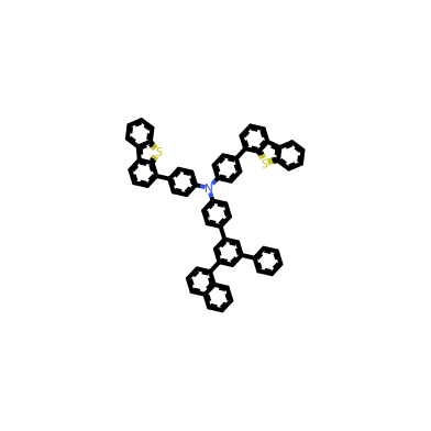 c1ccc(-c2cc(-c3ccc(N(c4ccc(-c5cccc6c5sc5ccccc56)cc4)c4ccc(-c5cccc6c5sc5ccccc56)cc4)cc3)cc(-c3cccc4ccccc34)c2)cc1